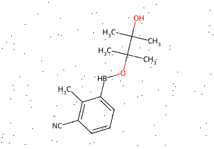 Cc1c(BOC(C)(C)C(C)(C)O)cccc1C#N